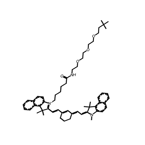 CN1/C(=C/C=C2C=C(/C=C/C3=[N+](CCCCCC(=O)NCCOCCOCCOCCC(C)(C)C)c4ccc5ccccc5c4C3(C)C)CCC/2)C(C)(C)c2c1ccc1ccccc21